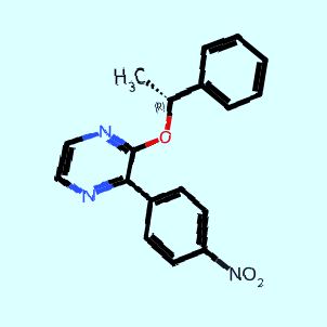 C[C@@H](Oc1nccnc1-c1ccc([N+](=O)[O-])cc1)c1ccccc1